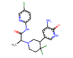 CC(C(=O)Nc1ccc(Cl)cn1)N1CCC(F)(F)C(c2c[nH]c(=O)c(N)c2)C1